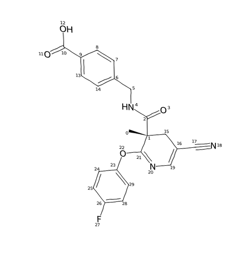 C[C@@]1(C(=O)NCc2ccc(C(=O)O)cc2)CC(C#N)=CN=C1Oc1ccc(F)cc1